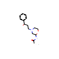 CCCCCCCCCC(=O)NC1CN(CCC(O)c2ccccc2)CCO1